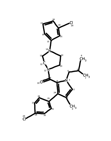 Cc1cn(CC(C)C)c(C(=O)N2CCN(c3cccc(Cl)c3)CC2)c1-c1ccc(Cl)cc1